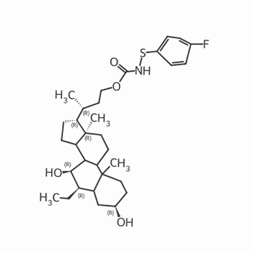 CC[C@@H]1C2C[C@H](O)CCC2(C)C2CC[C@@]3(C)C(CC[C@@H]3[C@H](C)CCOC(=O)NSc3ccc(F)cc3)C2[C@@H]1O